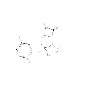 COP(=O)(OC)C1N2C(=O)C(N)[C@@H]2SC1(C)C.Cc1ccc(S(=O)(=O)O)cc1